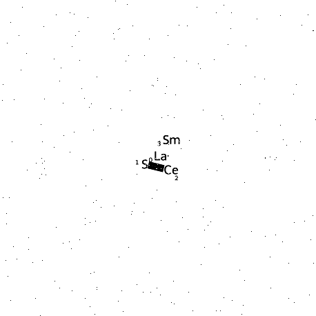 [La].[S]=[Ce].[Sm]